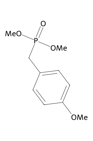 COc1ccc(CP(=O)(OC)OC)cc1